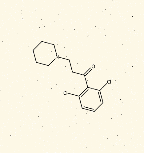 O=C(CCN1CCCCC1)c1c(Cl)cccc1Cl